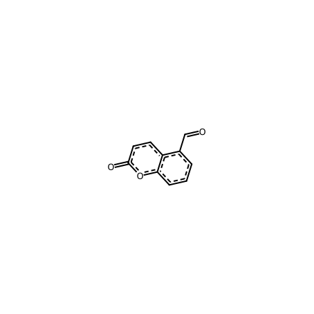 O=Cc1cccc2oc(=O)ccc12